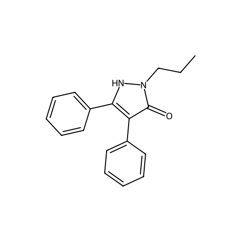 CCCn1[nH]c(-c2ccccc2)c(-c2ccccc2)c1=O